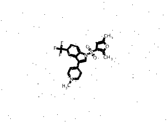 Cc1cc(S(=O)(=O)n2cc(C3=CCN(C)CC3)c3c2=CCC(C(F)(F)F)C=3)c(C)o1